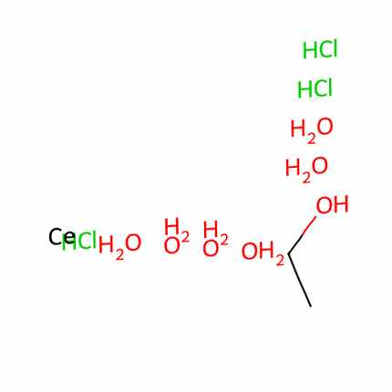 CCO.Cl.Cl.Cl.O.O.O.O.O.O.[Ce]